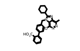 Cc1nnc(O)c2c1nc(C1CCCCC1)n2Cc1ccc(-c2ccccc2C(=O)O)cc1